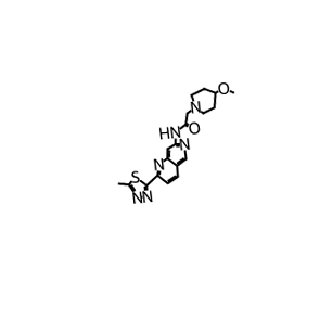 COC1CCN(CC(=O)Nc2cc3nc(-c4nnc(C)s4)ccc3cn2)CC1